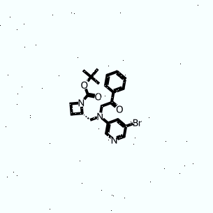 CC(C)(C)OC(=O)N1CC[C@H]1CN(CC(=O)c1ccccc1)c1cncc(Br)c1